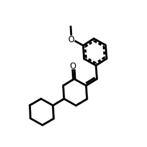 COc1cccc(/C=C2/CCC(C3CCCCC3)CC2=O)c1